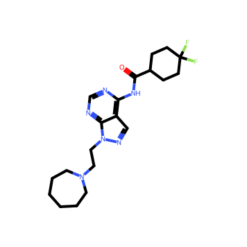 O=C(Nc1ncnc2c1cnn2CCN1CCCCCC1)C1CCC(F)(F)CC1